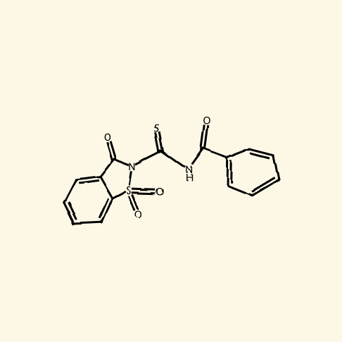 O=C(NC(=S)N1C(=O)c2ccccc2S1(=O)=O)c1ccccc1